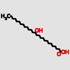 CCCCCCCCCCCCCC(O)CCCCCCCCCCCCC(=O)O